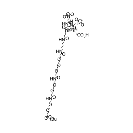 CC(C)(C)OC(=O)CCOCCOCCNC(=O)CCOCCOCCNC(=O)CCOCCOCCOCCC(=O)NCCCCCNC(=O)CCCNC(=O)C(NC(=O)CCN1C(=O)C=CC1=O)C(NC(=O)CCN1C(=O)C=CC1=O)C(=O)NCCCC(=O)O